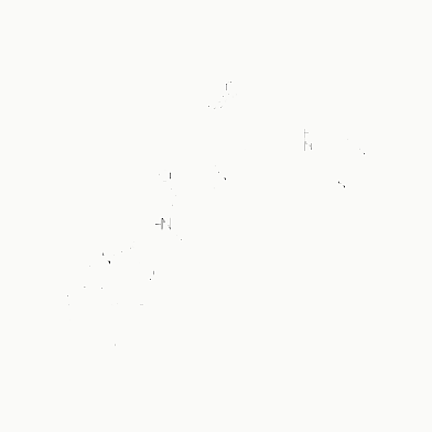 CC(=O)c1cn(CC(=O)N(CC(=O)Nc2cccc(Cl)c2F)C(C)C)c2ccc(Nc3cncnc3)cc12